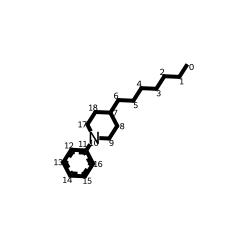 CCCCCCCC1CCN(c2ccccc2)CC1